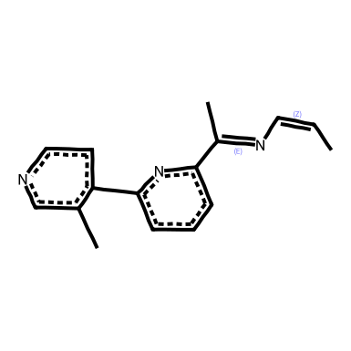 C/C=C\N=C(/C)c1cccc(-c2ccncc2C)n1